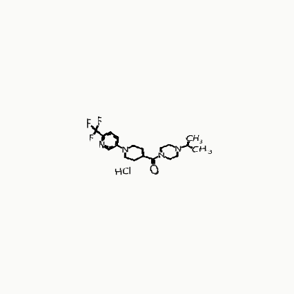 CC(C)N1CCN(C(=O)C2CCN(c3ccc(C(F)(F)F)nc3)CC2)CC1.Cl